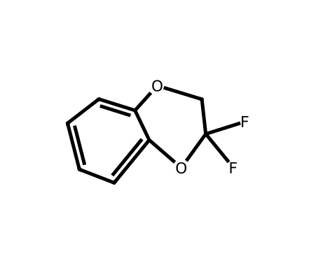 FC1(F)COc2ccccc2O1